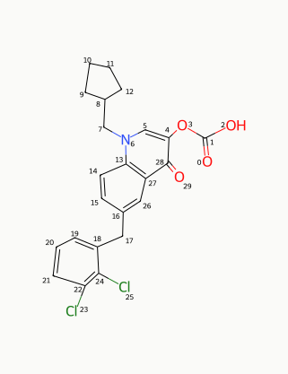 O=C(O)Oc1cn(CC2CCCC2)c2ccc(Cc3cccc(Cl)c3Cl)cc2c1=O